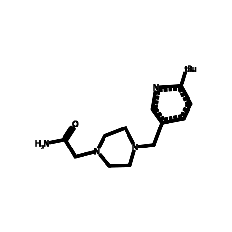 CC(C)(C)c1ccc(CN2CCN(CC(N)=O)CC2)cn1